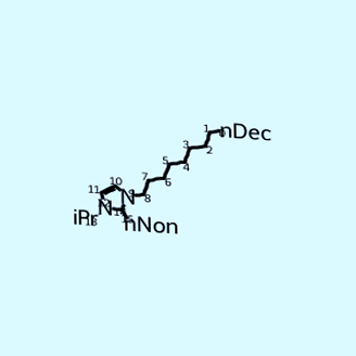 CCCCCCCCCCCCCCCCCCN1C=CN(C(C)C)C1CCCCCCCCC